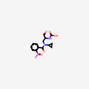 O=CC(CN(C(=O)c1ccccc1[N+](=O)[O-])C1CC1)NC(=O)O